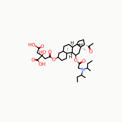 CCC(C)N(CC(=O)OC1C[C@]2(C)[C@@H](C(C)=O)CC[C@H]2[C@@H]2CCC3CC(OC(=O)CC(O)(CC(=O)O)C(=O)O)CC[C@]3(C)[C@@H]12)C(C)CC